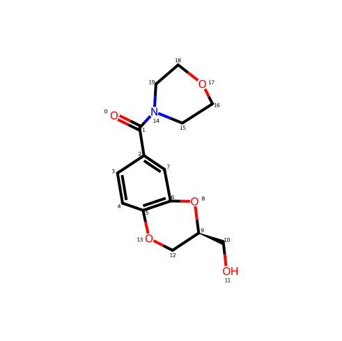 O=C(c1ccc2c(c1)O[C@@H](CO)CO2)N1CCOCC1